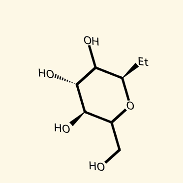 CC[C@H]1OC(CO)[C@@H](O)[C@H](O)C1O